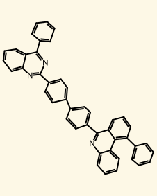 c1ccc(-c2nc(-c3ccc(-c4ccc(-c5nc6ccccc6c6c(-c7ccccc7)cccc56)cc4)cc3)nc3ccccc23)cc1